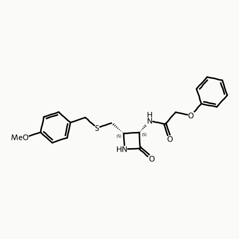 COc1ccc(CSC[C@H]2NC(=O)[C@H]2NC(=O)COc2ccccc2)cc1